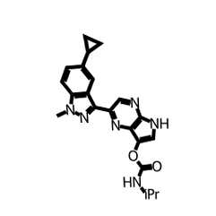 CC(C)NC(=O)Oc1c[nH]c2ncc(-c3nn(C)c4ccc(C5CC5)cc34)nc12